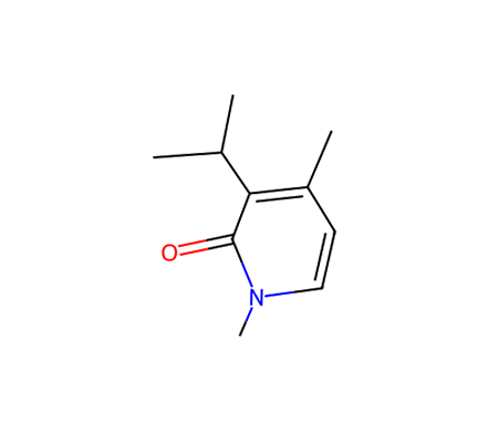 Cc1ccn(C)c(=O)c1C(C)C